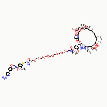 CO[C@H]1C[C@@H]2CC[C@@H](C)[C@@](O)(O2)C(=O)C(=O)N2CCCC[C@H]2C(=O)O[C@H]([C@H](N)C[C@@H]2CC[C@@H](OC(=O)NCCOCCOCCOCCOCCOCCOCCOCCOCCC(=O)NCCSc3ccc(C(=O)N4CCOc5ccc(-c6ccc(N)nc6)cc5C4)c(C)c3)[C@H](OC)C2)CC(N=[N+]=[N-])[C@H](C)/C=C(\C)[C@@H](O)[C@@H](O)C(=O)[C@H](C)C[C@H](C)/C=C/C=C/C=C/1C